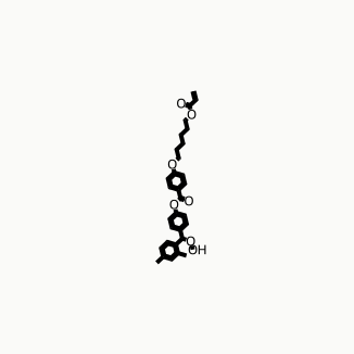 C=CC(=O)OCCCCCCOc1ccc(C(=O)Oc2ccc(C(OO)c3ccc(C)cc3C)cc2)cc1